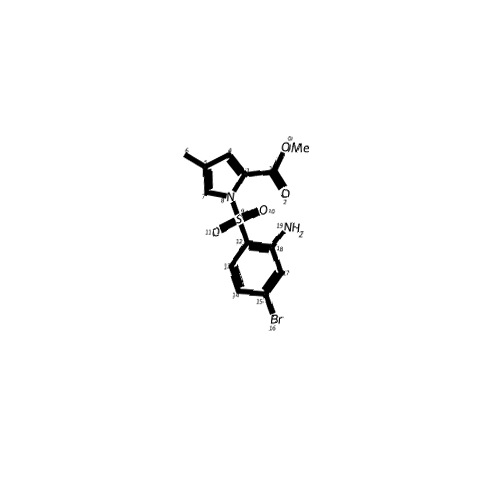 COC(=O)c1cc(C)cn1S(=O)(=O)c1ccc(Br)cc1N